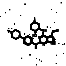 CN1CCN(c2ccc(Nc3nc(NC4CN(C)CCN4O)c4c(C=O)c[nH]c4n3)cc2)CC1